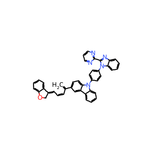 C=C(/C=C\C=C1/COc2ccccc21)c1ccc2c(c1)c1ccccc1n2-c1ccc(-n2c(-c3ncccn3)nc3ccccc32)cc1